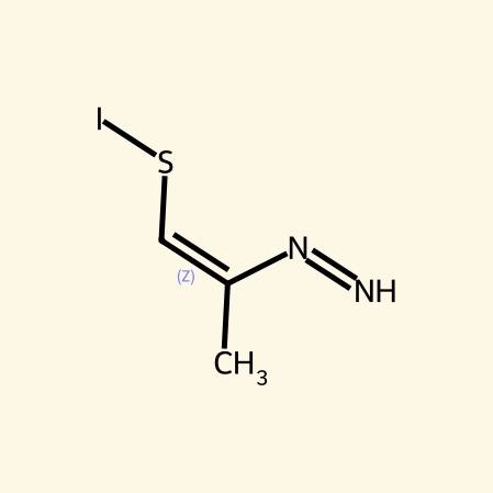 C/C(=C/SI)N=N